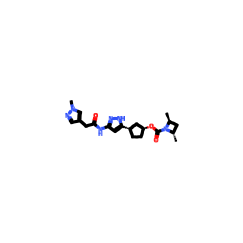 C[C@H]1C[C@H](C)N1C(=O)O[C@@H]1CC[C@H](c2cc(NC(=O)Cc3cnn(C)c3)n[nH]2)C1